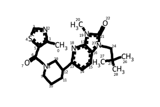 Cc1ncsc1C(=O)N1CCCC(c2ccc3c(n2)n(C)c(=O)n3CC(C)(C)C)C1